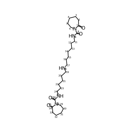 O=C1CCCCCN1C(=O)NCCCCCCCNCCCCCCNC(=O)N1CCCCCC1=O